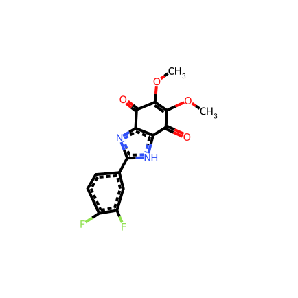 COC1=C(OC)C(=O)c2[nH]c(-c3ccc(F)c(F)c3)nc2C1=O